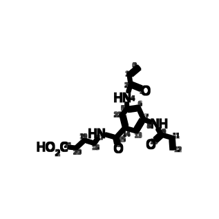 C=CC(=O)Nc1cc(NC(=O)C=C)cc(C(=O)NCCCC(=O)O)c1